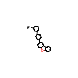 CC(C)c1cccc(-c2ccc(-c3ccc4oc5ccccc5c4c3)cc2)c1